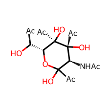 CC(=O)N[C@H]1C(O)(C(C)=O)O[C@H](C(O)C(C)=O)[C@](O)(C(C)=O)[C@@]1(O)C(C)=O